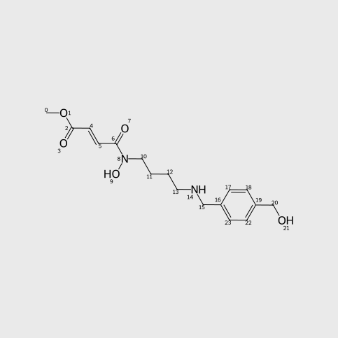 COC(=O)/C=C/C(=O)N(O)CCCCNCc1ccc(CO)cc1